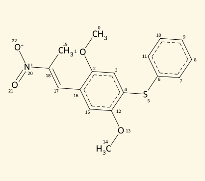 COc1cc(Sc2ccccc2)c(OC)cc1C=C(C)[N+](=O)[O-]